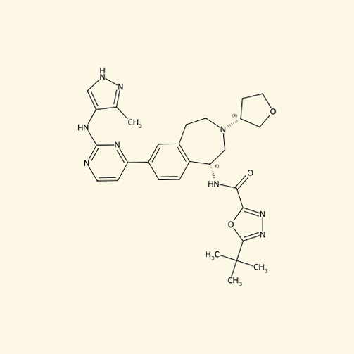 Cc1n[nH]cc1Nc1nccc(-c2ccc3c(c2)CCN([C@@H]2CCOC2)C[C@@H]3NC(=O)c2nnc(C(C)(C)C)o2)n1